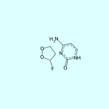 FC1CCOO1.Nc1cc[nH]c(=O)n1